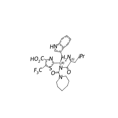 CC(C)C[C@H](N)C(=O)N(C(=O)N1CCCCCC1)[C@H](Cc1c[nH]c2ccccc12)c1nc(C(=O)O)c(C(F)(F)F)s1